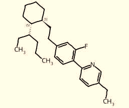 CCCC(CC)[C@@H]1CCCC[C@H]1CCc1ccc(-c2ccc(CC)cn2)c(F)c1